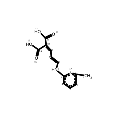 Cc1cccc(NC=CC=C(C(=O)O)C(=O)O)n1